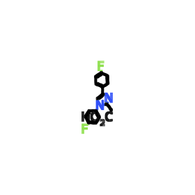 O=C(O)Cc1nc(-c2ccc(F)cc2)cn1-c1ccc(F)cc1